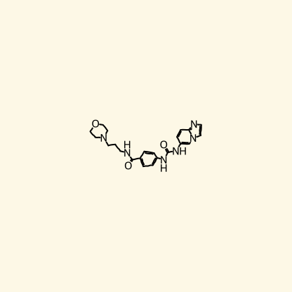 O=C(Nc1ccc(C(=O)NCCCN2CCOCC2)cc1)Nc1ccc2nccn2c1